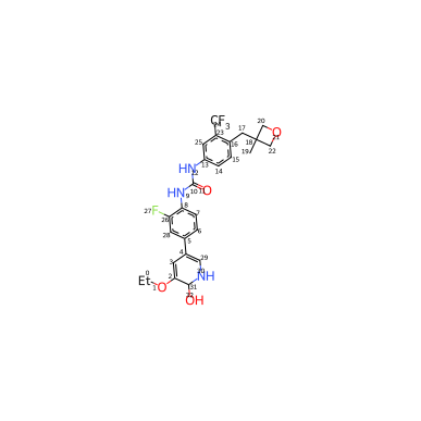 CCOC1=CC(c2ccc(NC(=O)Nc3ccc(CC4(C)COC4)c(C(F)(F)F)c3)c(F)c2)=CNC1O